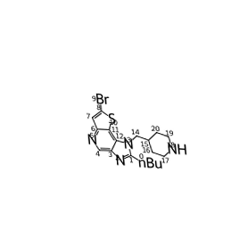 CCCCc1nc2cnc3cc(Br)sc3c2n1CC1CCNCC1